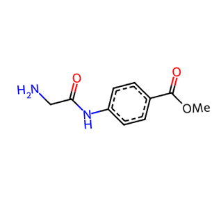 [CH2]OC(=O)c1ccc(NC(=O)CN)cc1